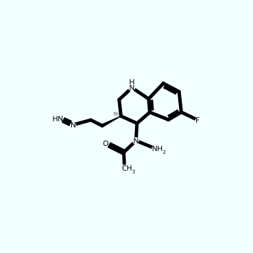 CC(=O)N(N)C1c2cc(F)ccc2NC[C@@H]1CCN=N